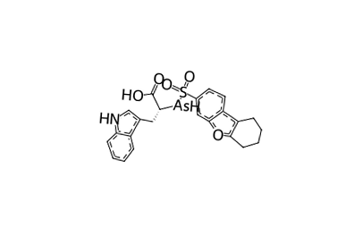 O=C(O)[C@@H](Cc1c[nH]c2ccccc12)[AsH]S(=O)(=O)c1ccc2c3c(oc2c1)CCCC3